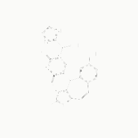 Cc1ccc2c(c1)C(c1cn(C(C)c3ncc[nH]3)c(=O)[nH]c1=O)c1nc(C)oc1C=C2